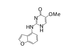 COc1c[nH]c(Nc2cccc3occc23)nc1=O